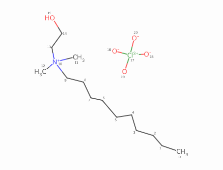 CCCCCCCCCC[N+](C)(C)CCO.[O-][Cl+3]([O-])([O-])[O-]